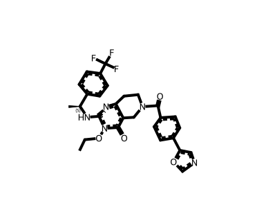 CCOn1c(N[C@@H](C)c2ccc(C(F)(F)F)cc2)nc2c(c1=O)CN(C(=O)c1ccc(-c3cnco3)cc1)CC2